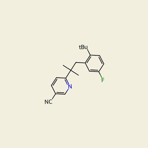 CC(C)(C)c1ccc(F)cc1CC(C)(C)c1ccc(C#N)cn1